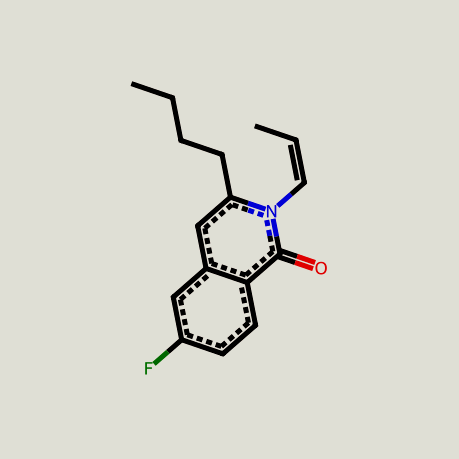 C/C=C\n1c(CCCC)cc2cc(F)ccc2c1=O